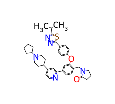 CC(C)c1nnc(-c2ccc(Oc3cc(-c4cc(C5CCN(C6CCCC6)CC5)ccn4)ccc3CN3CCCC3=O)cc2)s1